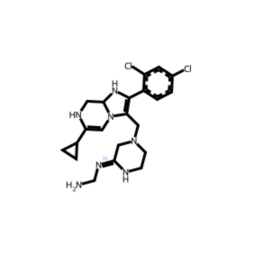 NC/N=C1/CN(CC2=C(c3ccc(Cl)cc3Cl)NC3CNC(C4CC4)=CN23)CCN1